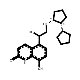 O=c1ccc2c(C(O)CN[C@@H]3CCC[C@@H]3C3CCCC3)ccc(O)c2[nH]1